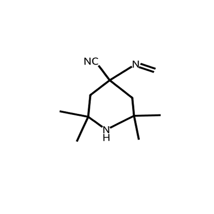 C=NC1(C#N)CC(C)(C)NC(C)(C)C1